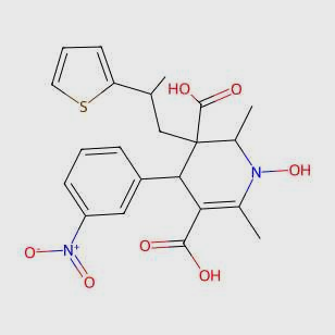 CC1=C(C(=O)O)C(c2cccc([N+](=O)[O-])c2)C(CC(C)c2cccs2)(C(=O)O)C(C)N1O